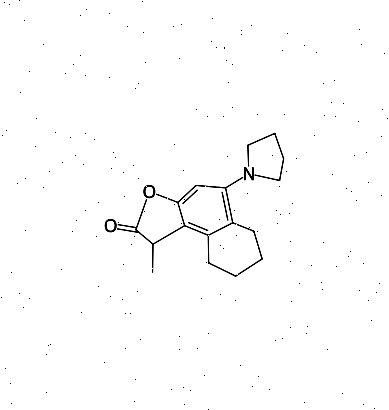 CC1C(=O)Oc2cc(N3CCCC3)c3c(c21)CCCC3